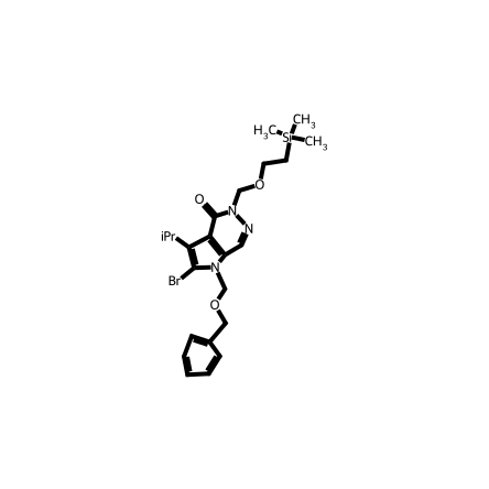 CC(C)c1c(Br)n(COCc2ccccc2)c2cnn(COCC[Si](C)(C)C)c(=O)c12